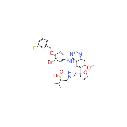 COc1cc2ncnc(Nc3ccc(OCc4cccc(F)c4)c(Br)c3)c2cc1C1(CCNCC(C(C)C)=S(=O)=O)CC=CO1